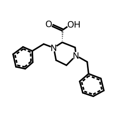 O=C(O)[C@@H]1CN(Cc2ccccc2)CCN1Cc1ccccc1